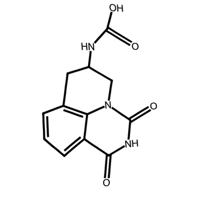 O=C(O)NC1Cc2cccc3c(=O)[nH]c(=O)n(c23)C1